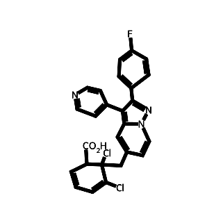 O=C(O)C1C=CC=C(Cl)C1(Cl)Cc1ccn2nc(-c3ccc(F)cc3)c(-c3ccncc3)c2c1